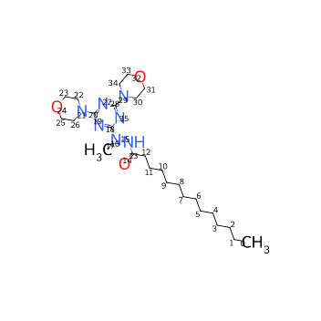 CCCCCCCCCCCCCC(=O)NN(C)c1nc(N2CCOCC2)nc(N2CCOCC2)n1